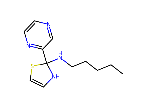 CCCCCNC1(c2cnccn2)NC=CS1